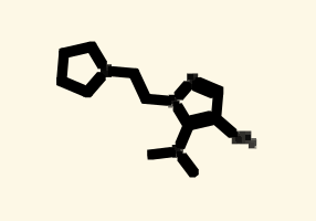 CN(C)c1c(N)cnn1CCN1CCCC1